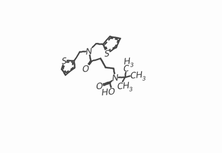 CC(C)(C)N(CCCC(=O)N(Cc1cccs1)Cc1cccs1)C(=O)O